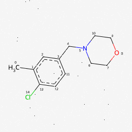 Cc1cc(CN2CCOCC2)ccc1Cl